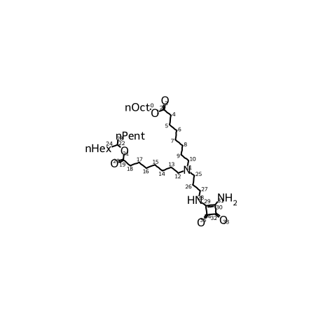 CCCCCCCCOC(=O)CCCCCCCN(CCCCCCCC(=O)OC(CCCCC)CCCCCC)CCCNc1c(N)c(=O)c1=O